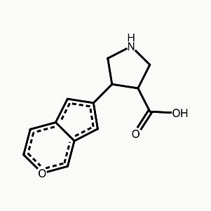 O=C(O)C1CNCC1c1cc2ccocc-2c1